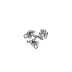 Nc1nc2c(ncn2[C@@H]2C[C@H](COP(=O)(O)Oc3ccccc3Cl)[C@@H]2COP(=O)(O)Oc2ccccc2Cl)c(=O)[nH]1